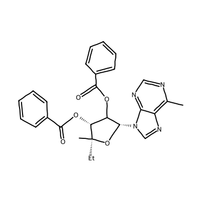 CC[C@@]1(C)O[C@@H](n2cnc3c(C)ncnc32)C(OC(=O)c2ccccc2)[C@H]1OC(=O)c1ccccc1